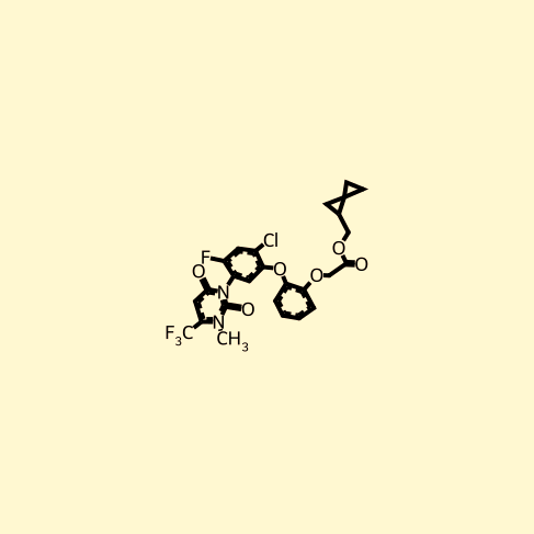 Cn1c(C(F)(F)F)cc(=O)n(-c2cc(Oc3ccccc3OCC(=O)OCC3CC34CC4)c(Cl)cc2F)c1=O